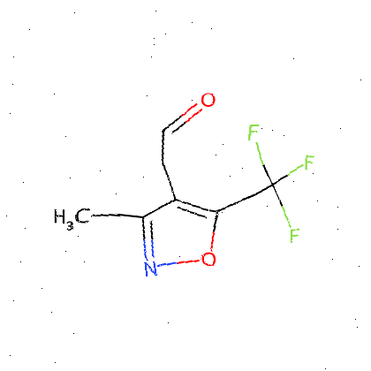 Cc1noc(C(F)(F)F)c1C=O